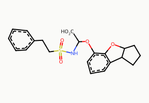 O=C(O)C(NS(=O)(=O)CCc1ccccc1)Oc1cccc2c1OC1CCCC21